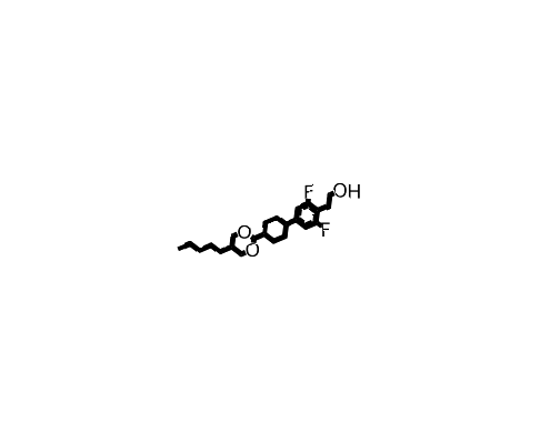 CCCCCC1COC(C2CCC(c3cc(F)c(CCO)c(F)c3)CC2)OC1